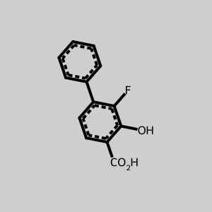 O=C(O)c1ccc(-c2ccccc2)c(F)c1O